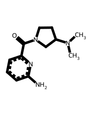 CN(C)C1CCN(C(=O)c2cccc(N)n2)C1